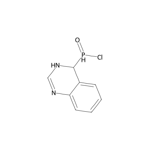 O=[PH](Cl)C1NC=Nc2ccccc21